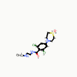 O=CNCCNC(=O)c1c(Cl)cc(N2CC[S+]([O-])CC2)cc1Cl